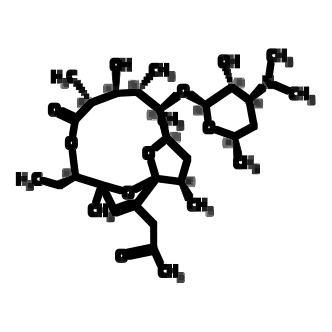 CC[C@H]1OC(=O)[C@H](C)[C@@H](O)[C@H](C)[C@@H](O[C@@H]2O[C@H](C)C[C@H](N(C)C)[C@H]2O)[C@@]2(C)C[C@@H](C)C3(OC1(C)C=C3CC(C)=O)O2